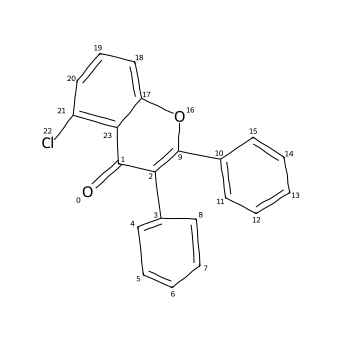 O=c1c(-c2ccccc2)c(-c2ccccc2)oc2cccc(Cl)c12